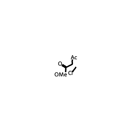 CCl.COC(=O)CC(C)=O